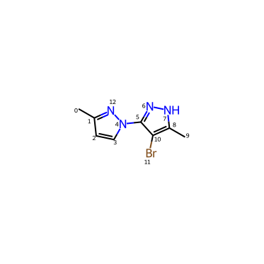 Cc1ccn(-c2n[nH]c(C)c2Br)n1